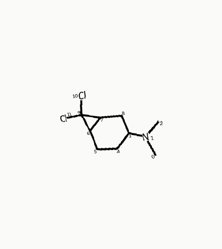 CN(C)C1CCC2C(C1)C2(Cl)Cl